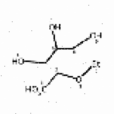 CCOCC(=O)O.OCC(O)CO